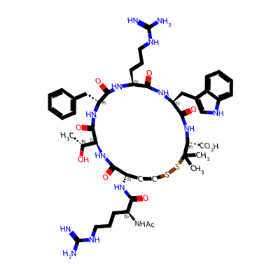 CC(=O)N[C@@H](CCCNC(=N)N)C(=O)N[C@H]1CCSSC(C)(C)[C@@H](C(=O)O)NC(=O)[C@H](Cc2c[nH]c3ccccc23)NC(=O)[C@H](CCCNC(=N)N)NC(=O)[C@@H](Cc2ccccc2)NC(=O)[C@H]([C@@H](C)O)NC1=O